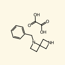 O=C(O)C(=O)O.c1ccc(CN2CCC23CNC3)cc1